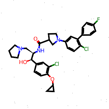 O=C(N[C@H](CN1CCCC1)[C@H](O)c1ccc(OC2CC2)c(Cl)c1)C1CCN(c2ccc(Cl)c(-c3ccc(F)cc3)c2)C1